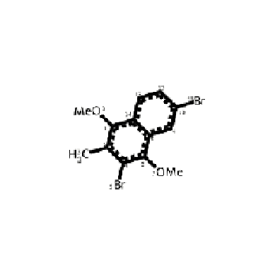 COc1c(C)c(Br)c(OC)c2cc(Br)ccc12